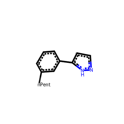 CCCCCc1cccc(-c2[c]cn[nH]2)c1